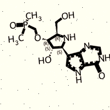 CP(C)(=O)CO[C@H]1[C@@H](O)[C@H](c2c[nH]c3c(=O)[nH]cnc23)N[C@@H]1CO